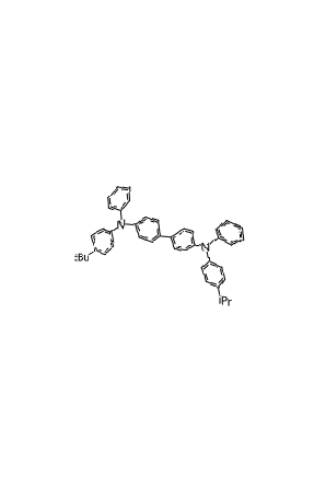 CC(C)c1ccc(N(c2ccccc2)c2ccc(-c3ccc(N(c4ccccc4)c4ccc(C(C)(C)C)cc4)cc3)cc2)cc1